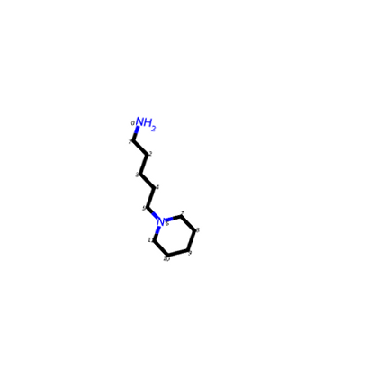 NCCCCCN1CCCCC1